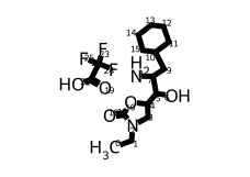 CCN1CC(C(O)C(N)CC2CCCCC2)OC1=O.O=C(O)C(F)(F)F